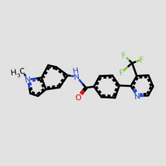 Cn1ccc2cc(NC(=O)c3ccc(-c4ncccc4C(F)(F)F)cc3)ccc21